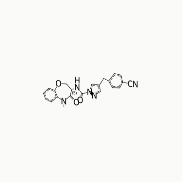 CN1C(=O)[C@@H](NC(=O)n2cc(Cc3ccc(C#N)cc3)cn2)COc2ccccc21